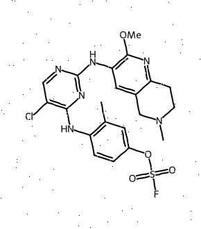 COc1nc2c(cc1Nc1ncc(Cl)c(Nc3ccc(OS(=O)(=O)F)cc3C)n1)CN(C)CC2